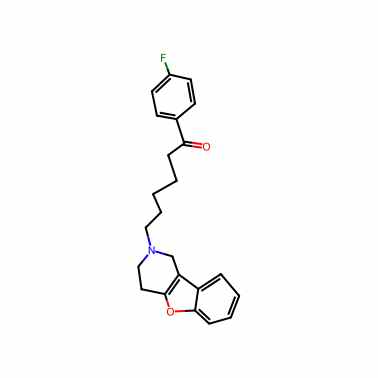 O=C(CCCCCN1CCc2oc3ccccc3c2C1)c1ccc(F)cc1